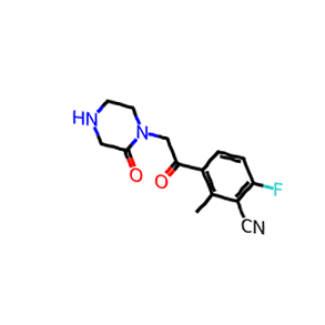 Cc1c(C(=O)CN2CCNCC2=O)ccc(F)c1C#N